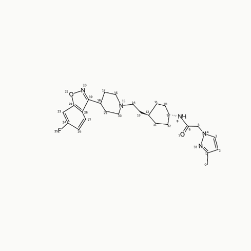 Cc1ccn(CC(=O)N[C@H]2CC[C@H](CCN3CCC(c4noc5cc(F)ccc45)CC3)CC2)n1